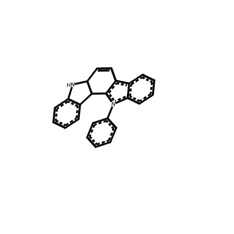 C1=CC2Nc3ccccc3C2c2c1c1ccccc1n2-c1ccccc1